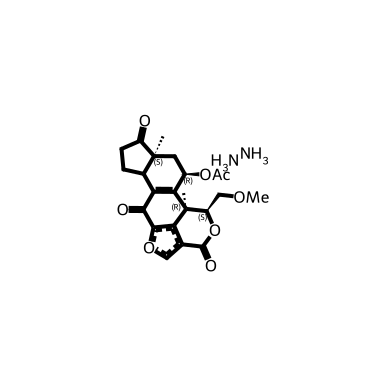 COC[C@H]1OC(=O)c2coc3c2[C@@]1(C)C1=C(C3=O)C2CCC(=O)[C@@]2(C)C[C@H]1OC(C)=O.N.N